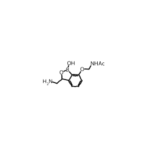 CC(=O)NCOc1cccc2c1B(O)OC2CN